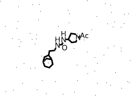 CC(=O)N1CCC(NC(=O)NCCC2CC3CCCC2C3)CC1